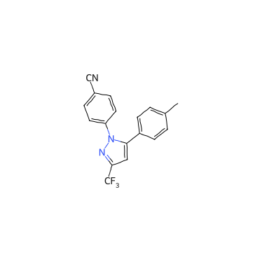 Cc1ccc(-c2cc(C(F)(F)F)nn2-c2ccc(C#N)cc2)cc1